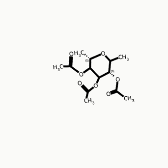 CC(=O)OC1C(OC(C)=O)[C@H](C)OC(C)[C@@H]1OC(C)=O